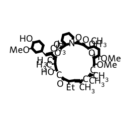 CC[C@@H]1/C=C(\C)CC(C)(C)C[C@H](OC)[C@H]2O[C@@](O)(C(=O)C(=O)N3CCCC[C@H]3C(=O)OC(C)(/C(C)=C/[C@@H]3CC[C@@H](O)[C@H](OC)C3)[C@H](C)[C@@H](O)CC1=O)[C@H](C)C[C@@H]2OC